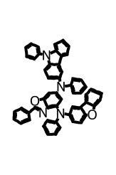 c1ccc(-c2nc3c(N(c4ccccc4)c4ccc5oc6ccccc6c5c4)cc(N(c4ccccc4)c4ccc5c(c4)c4ccccc4n5-c4ccccc4)cc3o2)cc1